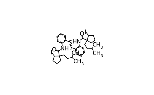 CC(C)CCC1(C(=O)Nc2ccccc2SSc2ccccc2NC(=O)C2(CCC(C)C)CCCC2I)CCCC1I